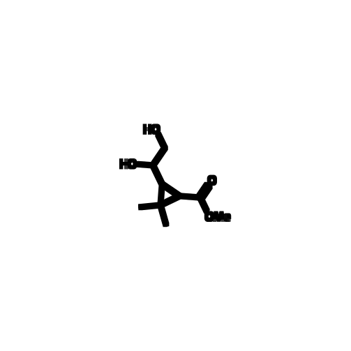 COC(=O)C1C(C(O)CO)C1(C)C